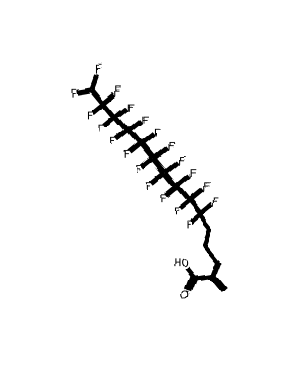 C=C(CCCC(F)(F)C(F)(F)C(F)(F)C(F)(F)C(F)(F)C(F)(F)C(F)(F)C(F)(F)C(F)(F)C(F)F)C(=O)O